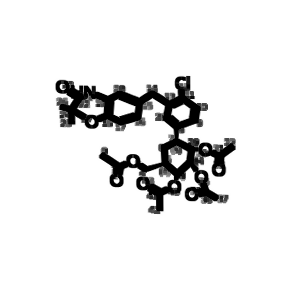 CC(=O)OC[C@H]1C[C@@H](c2ccc(Cl)c(Cc3ccc4c(c3)NC(=O)C(C)(C)O4)c2)[C@H](OC(C)=O)[C@@H](OC(C)=O)[C@@H]1OC(C)=O